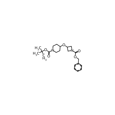 CC(C)(C)OC(=O)N1CCC(OC2CN(C(=O)OCc3ccccc3)C2)CC1